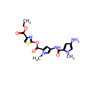 CCOC(=O)c1csc(OC(=O)c2cc(NC(=O)c3cc(N)cn3C)cn2C)n1